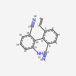 C=Cc1cccc(C#N)c1-c1c(N)cccc1C#N